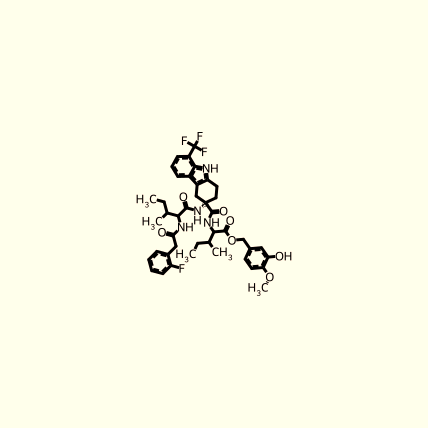 CCC(C)C(NC(=O)Cc1ccccc1F)C(=O)N[C@@]1(C(=O)NC(C(=O)OCc2ccc(OC)c(O)c2)C(C)CC)CCc2[nH]c3c(C(F)(F)F)cccc3c2C1